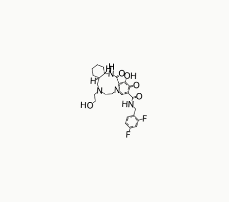 O=C(NCc1ccc(F)cc1F)c1cn2c(c(O)c1=O)C(=O)N[C@H]1CCCC[C@H]1CN(CCO)CC2